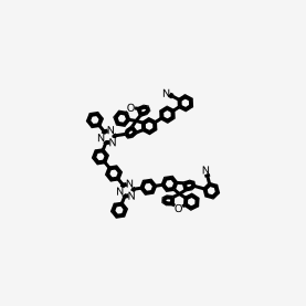 N#Cc1ccccc1-c1ccc(-c2ccc3c(c2)C2(c4ccccc4Oc4ccccc42)c2cc(-c4nc(-c5ccccc5)nc(-c5cccc(-c6ccc(-c7nc(-c8ccccc8)nc(-c8ccc(-c9ccc%10c(c9)C9(c%11ccccc%11Oc%11ccccc%119)c9cc(-c%11ccccc%11C#N)ccc9-%10)cc8)n7)cc6)c5)n4)ccc2-3)cc1